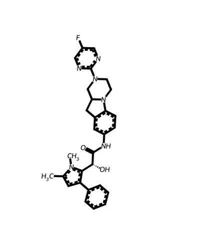 Cc1cc(-c2ccccc2)c([C@@H](O)C(=O)Nc2ccc3c(c2)CC2CN(c4ncc(F)cn4)CCN32)n1C